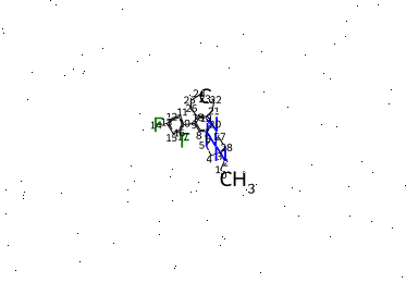 CCCN1CCN(c2cc(-c3ccc(F)cc3F)c3c(n2)CCCCCC3)CC1